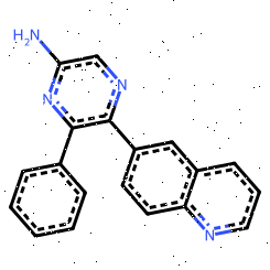 Nc1cnc(-c2ccc3ncccc3c2)c(-c2ccccc2)n1